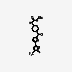 Cn1nc(-c2ccc(C(=O)N3CCC(NC(=O)OC(C)(C)C)CC3)s2)cc1C(F)(F)F